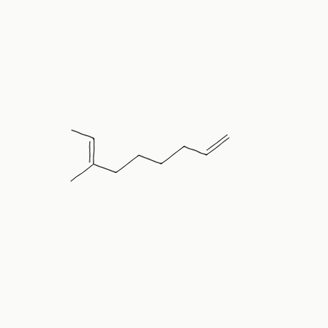 C=CCCCCC(C)=CC